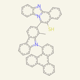 Cc1c(-c2c(S)c3ccccc3c3nc4ccccc4n23)ccc2c3ccccc3n(-c3cccc4c5ccccc5c5ccccc5c34)c12